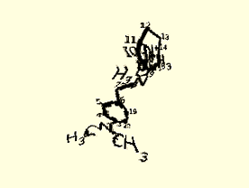 CN(C)c1ccc(C=NC2CC3CCC(C2)[N+]3(C)C)cc1